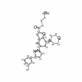 CCC(C)CCCC(=O)c1cc2nc(-n3ccc(-c4cccc(C)c4)n3)cc(N3CCOCC3)c2o1